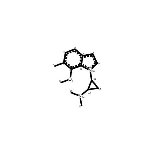 COc1c(C)ccc2ccn(C3CC3N(C)C)c12